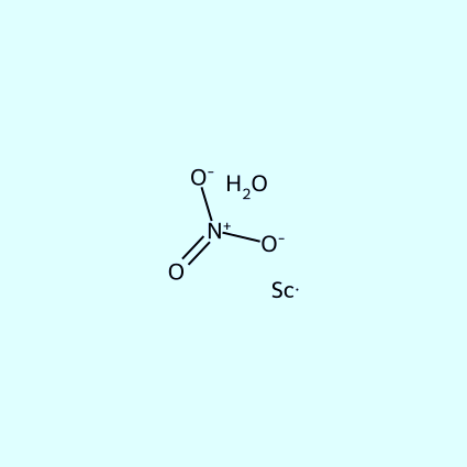 O.O=[N+]([O-])[O-].[Sc]